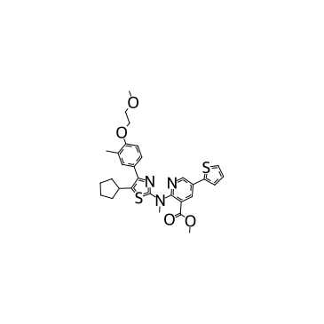 COCCOc1ccc(-c2nc(N(C)c3ncc(-c4cccs4)cc3C(=O)OC)sc2C2CCCC2)cc1C